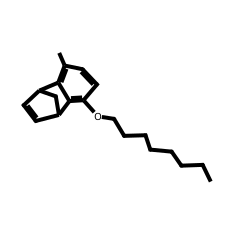 CCCCCCCCOc1ccc(C)c2c1C1C=CC2C1